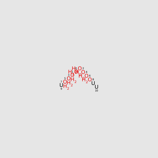 O.O.O.O.O.O.O.O.[U].[U].[U]